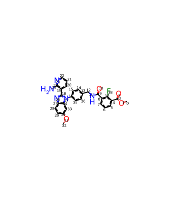 COC(=O)c1cccc(C(=O)NCc2ccc(-n3c(-c4cccnc4N)nc4ccc(OC)cc43)cc2)c1F